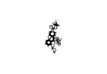 COCOc1cccc2c1C(OS(C)(=O)=O)=CC1(CCN(C(=O)OC(C)(C)C)CC1)O2